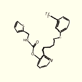 O=C(NCc1cccs1)Oc1cccnc1CCCSc1cccc(C(F)(F)F)c1